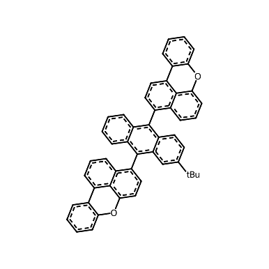 CC(C)(C)c1ccc2c(-c3ccc4c5c(cccc35)Oc3ccccc3-4)c3ccccc3c(-c3ccc4c5c(cccc35)-c3ccccc3O4)c2c1